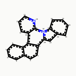 c1ccc2c(c1)ccc1c2c2cccnc2n2c3ccccc3cc12